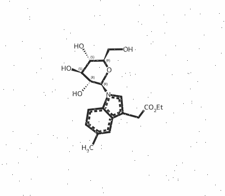 CCOC(=O)Cc1cn([C@@H]2O[C@H](CO)[C@@H](O)[C@H](O)[C@H]2O)c2ccc(C)cc12